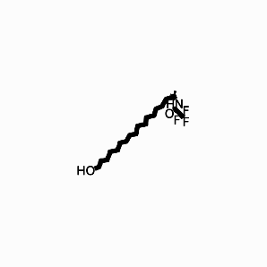 C[C@H](CCCCCCCCCCCCCCCCO)NC(=O)C(F)(F)F